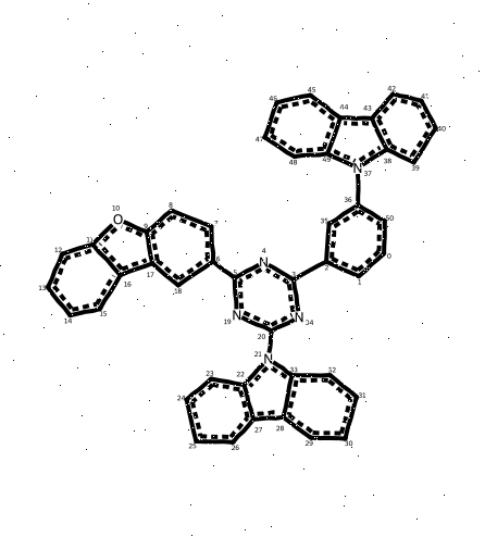 c1cc(-c2nc(-c3ccc4oc5ccccc5c4c3)nc(-n3c4ccccc4c4ccccc43)n2)cc(-n2c3ccccc3c3ccccc32)c1